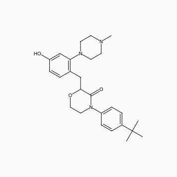 CN1CCN(c2cc(O)ccc2CC2OCCN(c3ccc(C(C)(C)C)cc3)C2=O)CC1